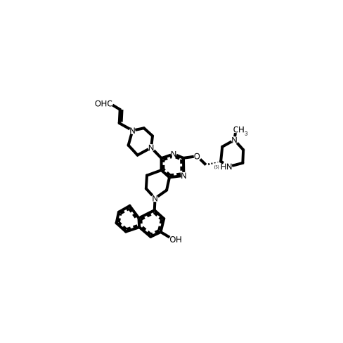 CN1CCN[C@H](COc2nc3c(c(N4CCN(C=CC=O)CC4)n2)CCN(c2cc(O)cc4ccccc24)C3)C1